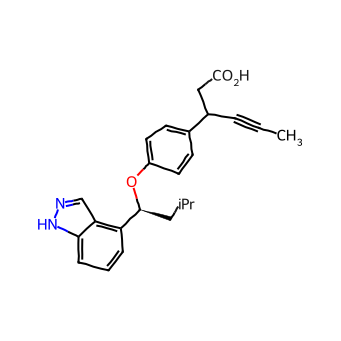 CC#CC(CC(=O)O)c1ccc(O[C@@H](CC(C)C)c2cccc3[nH]ncc23)cc1